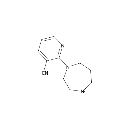 N#Cc1cccnc1N1CCC[N]CC1